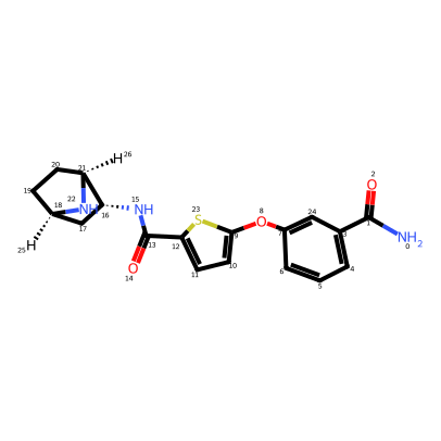 NC(=O)c1cccc(Oc2ccc(C(=O)N[C@@H]3C[C@H]4CC[C@@H]3N4)s2)c1